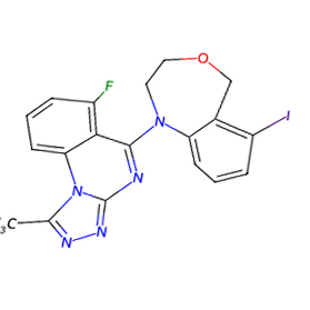 Cc1nnc2nc(N3CCOCc4c(I)cccc43)c3c(F)cccc3n12